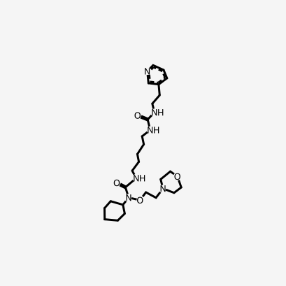 O=C(NCCCCCNC(=O)N(OCCN1CCOCC1)C1CCCCC1)NCCc1cccnc1